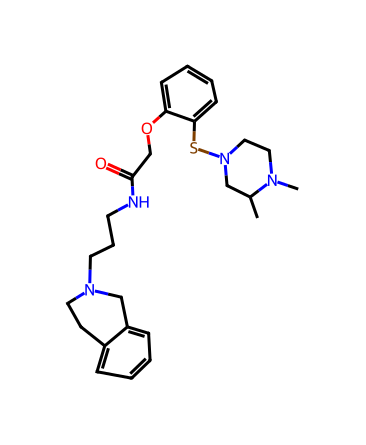 CC1CN(Sc2ccccc2OCC(=O)NCCCN2CCc3ccccc3C2)CCN1C